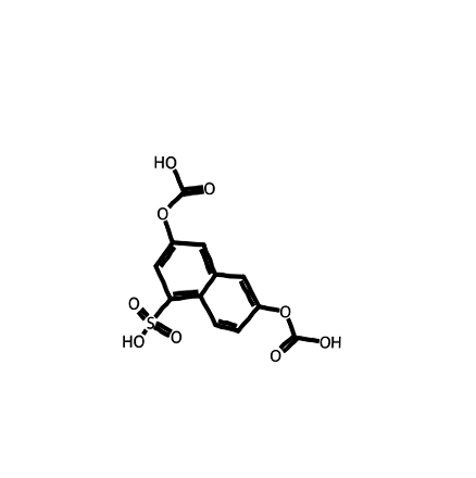 O=C(O)Oc1ccc2c(S(=O)(=O)O)cc(OC(=O)O)cc2c1